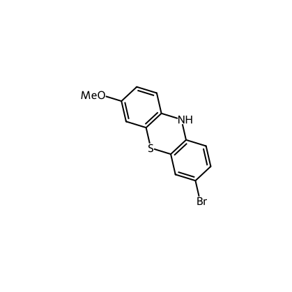 COc1ccc2c(c1)Sc1cc(Br)ccc1N2